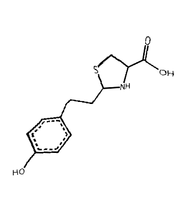 O=C(O)C1CSC(CCc2ccc(O)cc2)N1